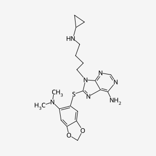 CN(C)c1cc2c(cc1Sc1nc3c(N)ncnc3n1CCCCNC1CC1)OCO2